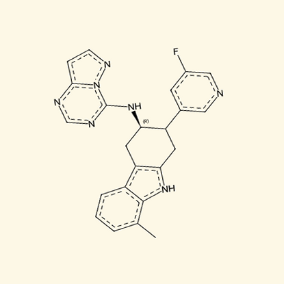 Cc1cccc2c3c([nH]c12)CC(c1cncc(F)c1)[C@H](Nc1ncnc2ccnn12)C3